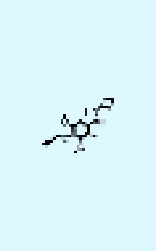 C#CCOc1c(OC)cc(C(=O)NC2CCC2)c(C)c1OC